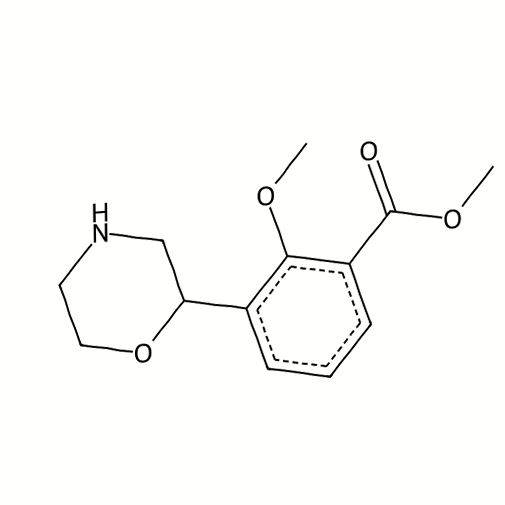 COC(=O)c1cccc(C2CNCCO2)c1OC